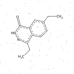 CCc1ccc2c(CC)n[nH]c(=O)c2c1